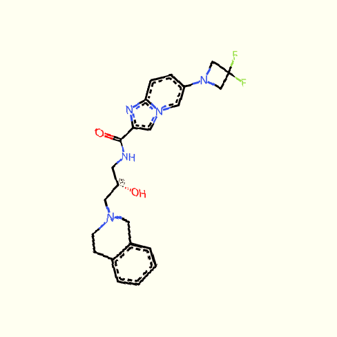 O=C(NC[C@H](O)CN1CCc2ccccc2C1)c1cn2cc(N3CC(F)(F)C3)ccc2n1